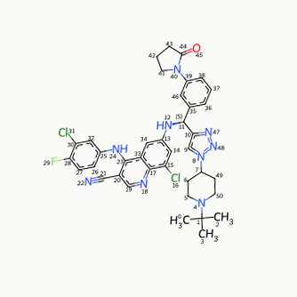 CC(C)(C)N1CCC(n2cc([C@@H](Nc3cc(Cl)c4ncc(C#N)c(Nc5ccc(F)c(Cl)c5)c4c3)c3cccc(N4CCCC4=O)c3)nn2)CC1